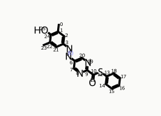 Cc1cc(/N=N/c2cnc(C(=O)Sc3ccccc3)nc2)cc(C)c1O